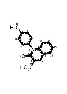 Cc1ccc(-n2c(=O)c(C(=O)O)cc3ccccc32)cc1